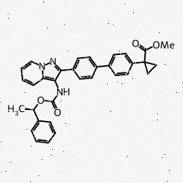 COC(=O)C1(c2ccc(-c3ccc(-c4nn5ccccc5c4NC(=O)O[C@H](C)c4ccccc4)cc3)cc2)CC1